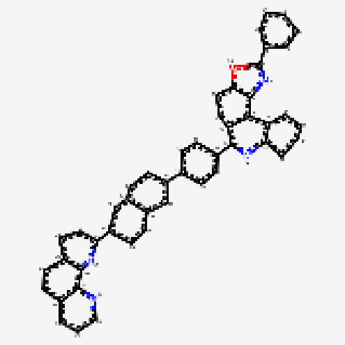 c1ccc(-c2nc3c(ccc4c(-c5ccc(-c6ccc7cc(-c8ccc9ccc%10cccnc%10c9n8)ccc7c6)cc5)nc5ccccc5c43)o2)cc1